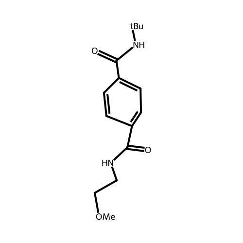 COCCNC(=O)c1ccc(C(=O)NC(C)(C)C)cc1